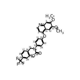 COc1cc2nccc(Oc3ccc(N(Cc4ccc(C(F)(F)F)cc4)C(=O)O)cc3)c2cc1OC